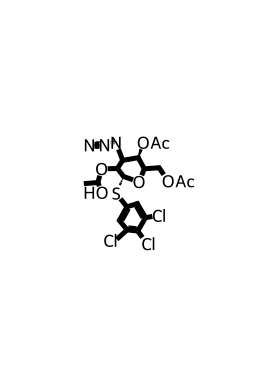 CC(=O)OCC1O[C@H](Sc2cc(Cl)c(Cl)c(Cl)c2)C(OC(C)O)C(N=[N+]=[N-])[C@H]1OC(C)=O